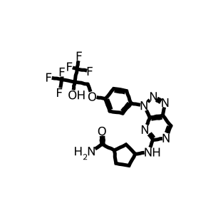 NC(=O)C1CCC(Nc2ncc3nnn(-c4ccc(OCC(O)(C(F)(F)F)C(F)(F)F)cc4)c3n2)C1